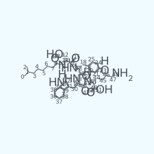 CC(C)CCCCCC(=O)N[C@H](CO)C(=O)N[C@H](Cc1ccc(O)cc1)C(=O)N[C@H](Cc1c[nH]c2ccccc12)C(=O)N[C@H](CCCCN)C(=O)O